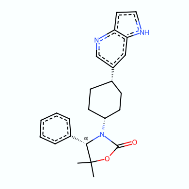 CC1(C)OC(=O)N([C@H]2CC[C@@H](c3cnc4cc[nH]c4c3)CC2)[C@H]1c1ccccc1